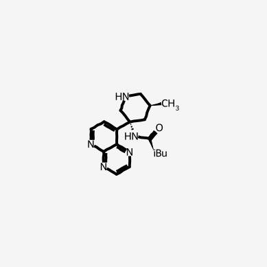 CC[C@H](C)C(=O)N[C@]1(c2ccnc3nccnc23)CNC[C@@H](C)C1